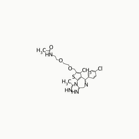 CC(=N)N1C(=N)CN=C(c2ccc(Cl)cc2)c2c1sc(COCCOCCNC(C)=O)c2C